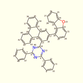 c1ccc(-c2nc(-c3ccccc3)nc(-c3cc(-c4cccc5oc6ccccc6c45)cc4c5ccccc5c5ccccc5c34)n2)cc1